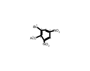 CCC(C)c1cc([N+](=O)[O-])cc([N+](=O)[O-])c1OC(C)=O